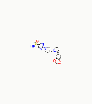 C[S@](=N)(=O)c1cnc(N2CCC(CN3CCC[C@@H]3c3ccc4c(c3)OCCO4)CC2)nc1